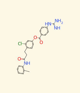 Cc1ccccc1NC(=O)CCc1ccc(OC(=O)c2ccc(NC(=N)N)cc2)cc1Cl